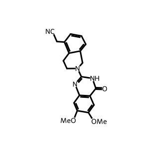 COc1cc2nc(N3CCc4c(CC#N)cccc4C3)[nH]c(=O)c2cc1OC